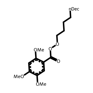 [CH2]CCCCCCCCCCCCCOOC(=O)c1cc(OC)c(OC)cc1OC